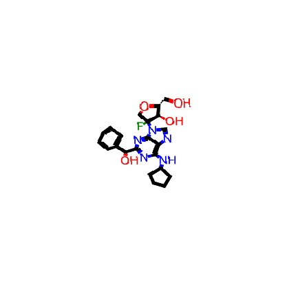 OC[C@H]1OC[C@@](F)(n2cnc3c(NC4CCCC4)nc(C(O)c4ccccc4)nc32)[C@@H]1O